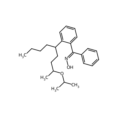 CCCCC(CCC(C)OC(C)C)c1ccccc1C(=NO)c1ccccc1